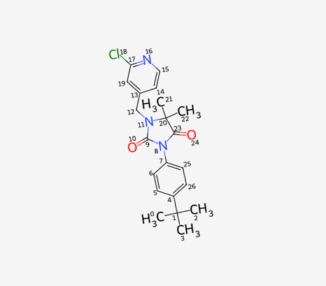 CC(C)(C)c1ccc(N2C(=O)N(Cc3ccnc(Cl)c3)C(C)(C)C2=O)cc1